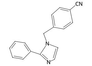 N#Cc1ccc(Cn2ccnc2-c2ccccc2)cc1